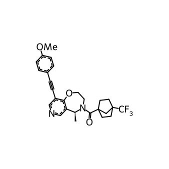 COc1ccc(C#Cc2cncc3c2OCCN(C(=O)C24CCC(C(F)(F)F)(CC2)C4)[C@H]3C)cc1